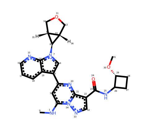 CNc1cc(-c2cn([C@H]3[C@@H]4COC[C@@H]43)c3ncccc23)nc2c(C(=O)NC3CC[C@H]3OC)cnn12